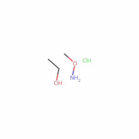 CCO.CON.Cl